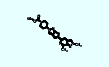 Cc1nc(-c2cc3cn(C4CCN(C(=O)OC(C)(C)C)CC4)nc3s2)cc2cn(C)nc12